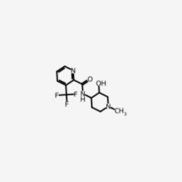 CN1CCC(NC(=O)c2ncccc2C(F)(F)F)C(O)C1